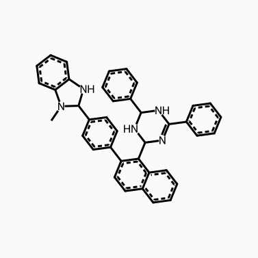 CN1c2ccccc2NC1c1ccc(-c2ccc3ccccc3c2C2N=C(c3ccccc3)NC(c3ccccc3)N2)cc1